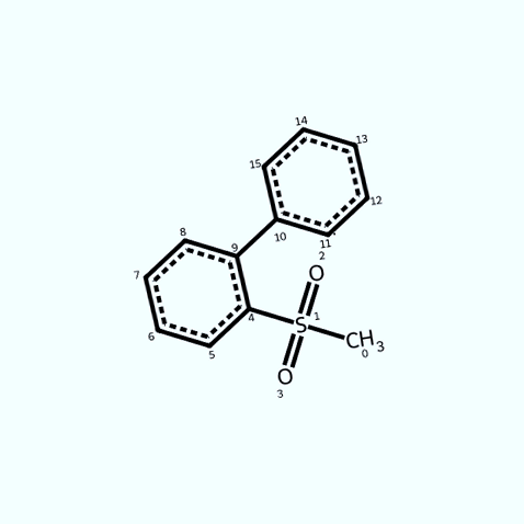 CS(=O)(=O)c1ccccc1-c1[c]cccc1